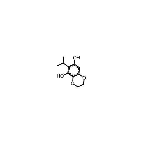 CC(C)c1c(O)cc2c(c1O)OCCO2